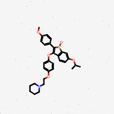 COc1ccc(-c2c(Oc3ccc(OCCN4CCCCC4)cc3)c3ccc(OC(C)C)cc3[s+]2[O-])cc1